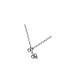 CCCCCCCCCCCCCCCN(CCCCCCCCCCCCCCC)C(=O)/C=C/C(=O)O